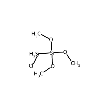 CO[Si](OC)(OC)[SiH2]Cl